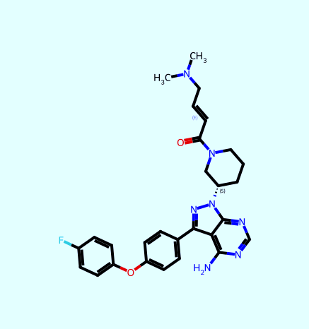 CN(C)C/C=C/C(=O)N1CCC[C@H](n2nc(-c3ccc(Oc4ccc(F)cc4)cc3)c3c(N)ncnc32)C1